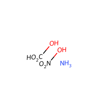 N.O=C(O)O.O=[N+]([O-])O